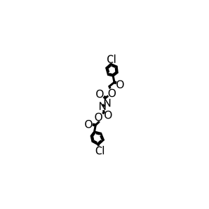 O=C(N=NC(=O)OCC(=O)c1ccc(Cl)cc1)OCC(=O)c1ccc(Cl)cc1